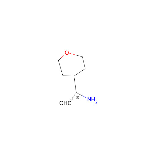 N[C@H](C=O)C1CCOCC1